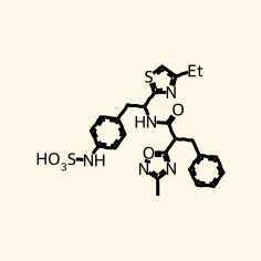 CCc1csc(C(Cc2ccc(NS(=O)(=O)O)cc2)NC(=O)C(Cc2ccccc2)c2nc(C)no2)n1